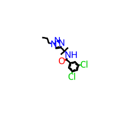 CCCn1cc(C(C)(C)NC(=O)c2cc(Cl)cc(Cl)c2)nn1